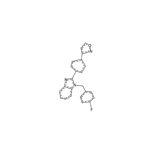 Fc1ccc(Cn2c(-c3ccc(-c4ccon4)cc3)nc3ccccc32)cc1